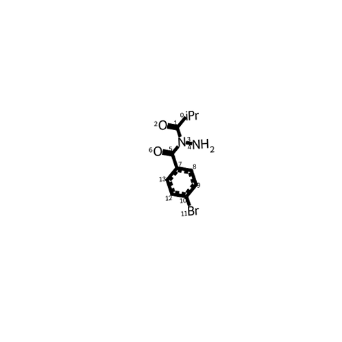 CC(C)C(=O)N(N)C(=O)c1ccc(Br)cc1